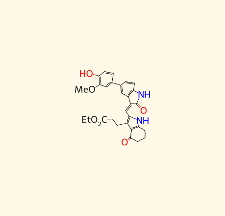 CCOC(=O)CCc1c(/C=C2\C(=O)Nc3ccc(-c4ccc(O)c(OC)c4)cc32)[nH]c2c1C(=O)CCC2